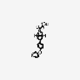 CC(C)(C)OC(=O)N1C[C@H]2CC(c3ccc(Oc4ccncc4)cc3)=C[C@H]2C1